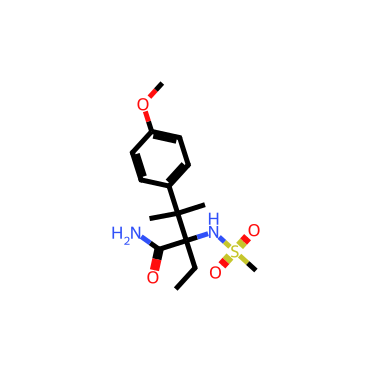 CCC(NS(C)(=O)=O)(C(N)=O)C(C)(C)c1ccc(OC)cc1